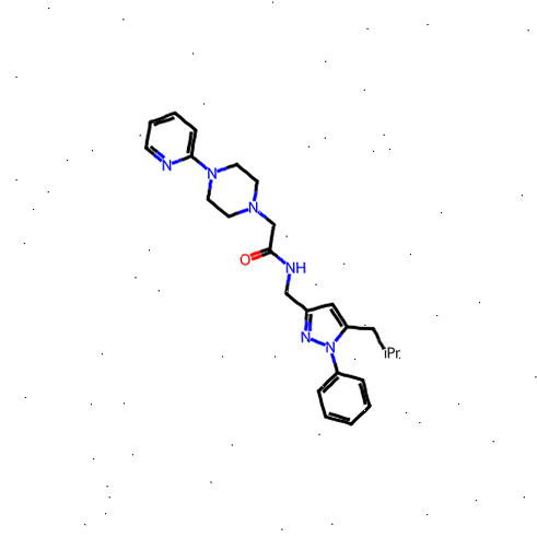 CC(C)Cc1cc(CNC(=O)CN2CCN(c3ccccn3)CC2)nn1-c1ccccc1